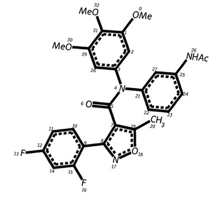 COc1cc(N(C(=O)c2c(-c3ccc(F)cc3F)noc2C)c2cccc(NC(C)=O)c2)cc(OC)c1OC